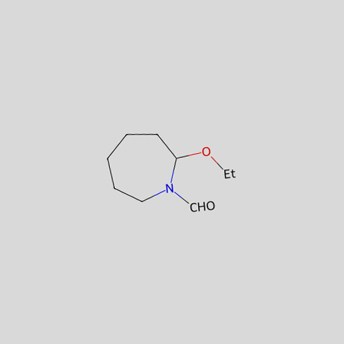 CCOC1CCCCCN1C=O